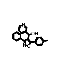 Cc1ccc(-c2onc(-c3ccccc3)c2C(O)c2cccnc2)cc1